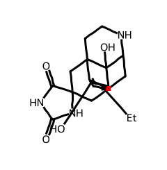 CCc1cc(O)cc2c1CC1NCCC23CC2(CCC13O)NC(=O)NC2=O